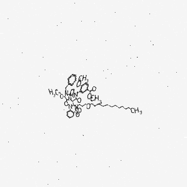 CCCCCCCCCCCCOCCCN1C(C(C(=O)Nc2cc(C(=O)OC)ccc2OC)N2C(=O)C(OCC)N(Cc3ccccc3)C2=O)=Nc2ccccc2S1(=O)=O